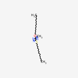 CCCCCCCCCCCCCCCCOc1c2ncnc(SCCCCCCCCCCCCCCCC)c2nn1C